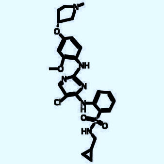 COc1cc(O[C@@H]2CCN(C)C2)ccc1Nc1ncc(Cl)c(Nc2ccccc2S(=O)(=O)NCC2CC2)n1